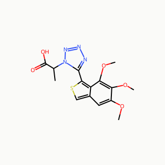 COc1cc2csc(-c3nnnn3C(C)C(=O)O)c2c(OC)c1OC